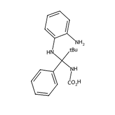 CC(C)(C)C(NC(=O)O)(Nc1ccccc1N)c1ccccc1